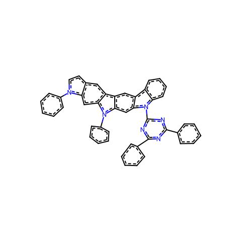 c1ccc(-c2nc(-c3ccccc3)nc(-n3c4ccccc4c4cc5c6cc7ccn(-c8ccccc8)c7cc6n(-c6ccccc6)c5cc43)n2)cc1